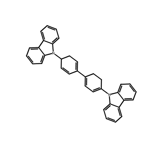 C1=CC(n2c3ccccc3c3ccccc32)CC=C1C1=CC=C(n2c3ccccc3c3ccccc32)CC1